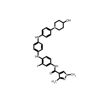 Cc1nn(C)cc1C(=O)Nc1ccc(Nc2ccc(Nc3ccc(N4CCC(O)CC4)cc3)cc2)c(F)c1